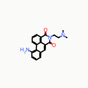 CN(C)CCN1C(=O)c2cccc3c2c(cc2cccc(N)c23)C1=O